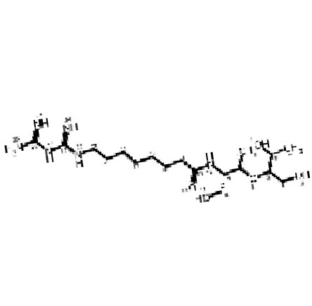 CC(OC(CO)[C@H](C)O)[C@H](CO)NC(=O)CCCCCCCNC(=N)NC(=N)N